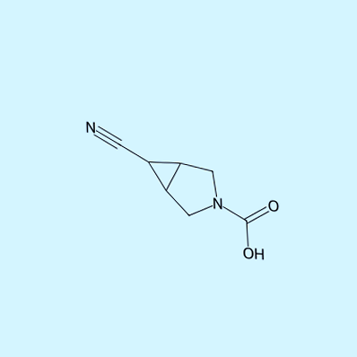 N#CC1C2CN(C(=O)O)CC12